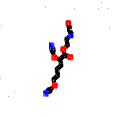 N#COCCCCC(OC#N)C(=O)OCCN=C=O